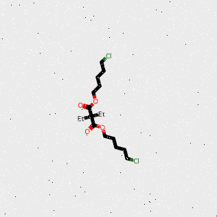 CCC(CC)(C(=O)OCCCCCCl)C(=O)OCCCCCCl